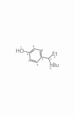 CCCCC(CC)c1ccc(O)cc1